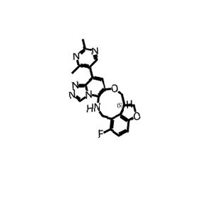 Cc1ncc(-c2cc3c(n4cnnc24)NCc2c(F)ccc4c2[C@@H](CO4)CO3)c(C)n1